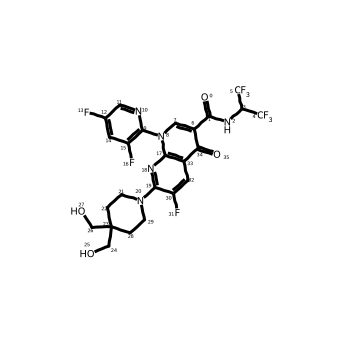 O=C(NC(C(F)(F)F)C(F)(F)F)c1cn(-c2ncc(F)cc2F)c2nc(N3CCC(CO)(CO)CC3)c(F)cc2c1=O